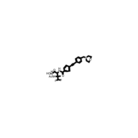 CC(=O)NC(C)(C(F)F)C(NC(=O)c1ccc(C#Cc2ccc(CN3CCOCC3)cc2)cc1)C(=O)NO